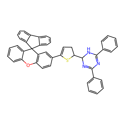 C1=C(c2ccc3c(c2)C2(c4ccccc4O3)c3ccccc3-c3ccccc32)SC(C2N=C(c3ccccc3)N=C(c3ccccc3)N2)C1